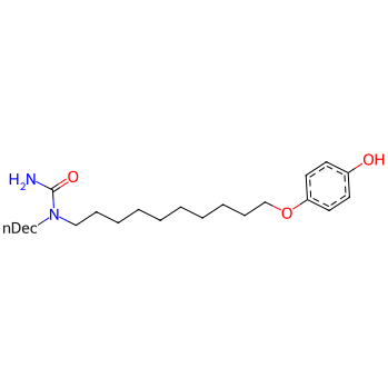 CCCCCCCCCCN(CCCCCCCCCCOc1ccc(O)cc1)C(N)=O